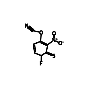 N#COC1=C([N+](=O)[O-])C(=S)C(F)C=C1